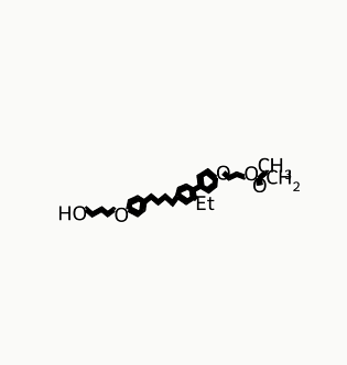 C=C(C)C(=O)OCCCOc1ccc(-c2ccc(CCCCc3ccc(OCCCCCO)cc3)cc2CC)cc1